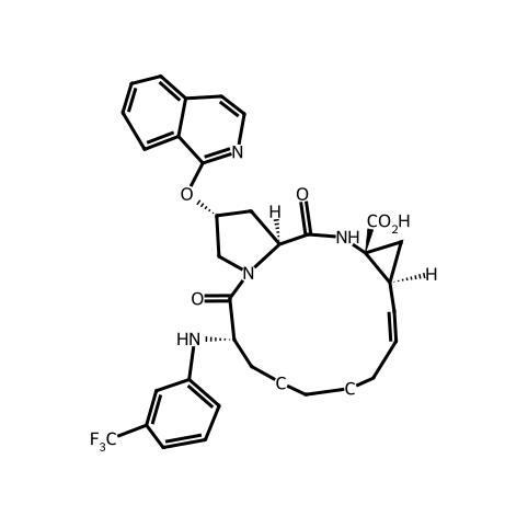 O=C1N[C@]2(C(=O)O)C[C@H]2/C=C\CCCCC[C@H](Nc2cccc(C(F)(F)F)c2)C(=O)N2C[C@H](Oc3nccc4ccccc34)C[C@@H]12